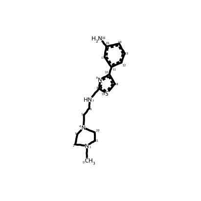 CN1CCN(CCNc2nc(-c3cccc(N)c3)cs2)CC1